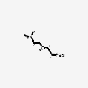 CCCCCCOCCN(C)C